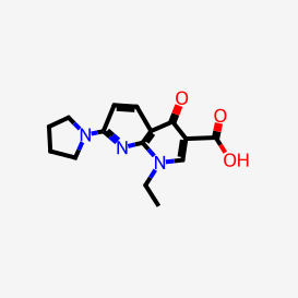 CCn1cc(C(=O)O)c(=O)c2ccc(N3CCCC3)nc21